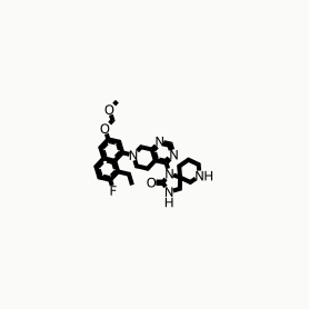 CCc1c(F)ccc2cc(OCOC)cc(N3CCc4c(ncnc4N4C(=O)NCC45CCCNC5)C3)c12